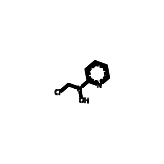 ON(CCl)c1ccccn1